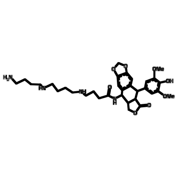 COc1cc(C2c3cc4c(cc3C(NC(=O)CCCNCCCCNCCCCN)C3COC(=O)C23)OCO4)cc(OC)c1O